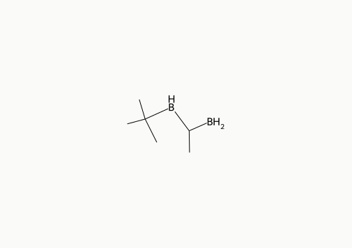 BC(C)BC(C)(C)C